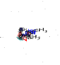 CNc1nccc(-c2cccnc2Oc2cc(C(=O)Nc3cc(OCC4CCCN4C)cc(C(F)(F)F)c3)ccc2C)n1